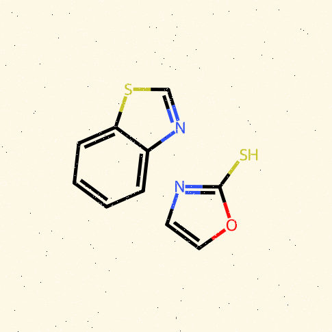 Sc1ncco1.c1ccc2scnc2c1